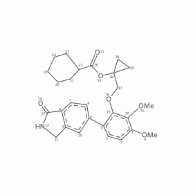 COc1ccc(-c2ccc3c(c2)CNC3=O)c(OCC2(OC(=O)C3CCCCC3)CC2)c1OC